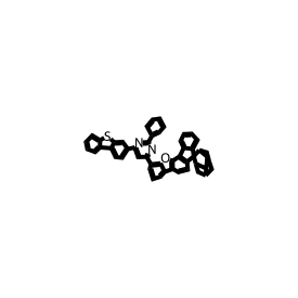 c1ccc(-c2nc(-c3ccc4c(c3)sc3ccccc34)cc(-c3cccc4c3oc3c5c(ccc34)C3(c4ccccc4-5)C4CC5CC(C4)CC3C5)n2)cc1